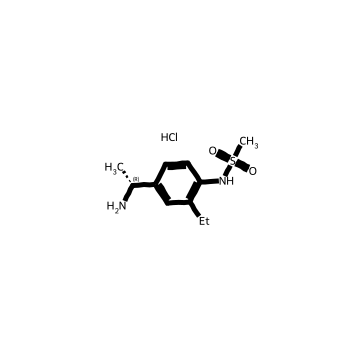 CCc1cc([C@@H](C)N)ccc1NS(C)(=O)=O.Cl